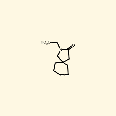 O=C(O)CN1CC2(CCCCC2)CC1=O